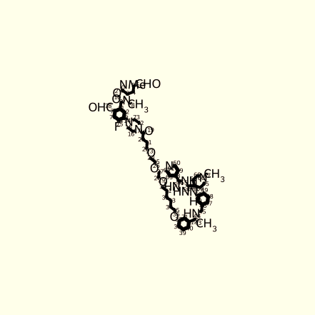 CNC(=O)C(CCC=O)N(C)C(=O)c1cc(N2CCN(C(=O)CCCOCCOCCOCCCCCCOc3cccc([C@@H](C)NCc4cccc(NC5(C(=N)NC(=N)c6ccncc6)CCN(C)CC5)c4)c3)CC2)c(F)cc1C=O